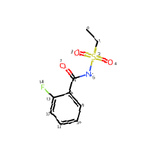 CCS(=O)(=O)[N]C(=O)c1ccccc1F